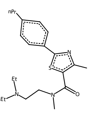 CCCc1ccc(-c2nc(C)c(C(=O)N(C)CCN(CC)CC)s2)cc1